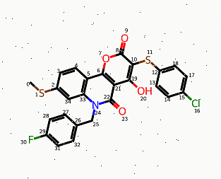 CSc1ccc2c3oc(=O)c(Sc4ccc(Cl)cc4)c(O)c3c(=O)n(Cc3ccc(F)cc3)c2c1